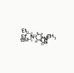 CCC(CC)CN(CC(C)(C)C)c1ccc2c(cnn2C)c1